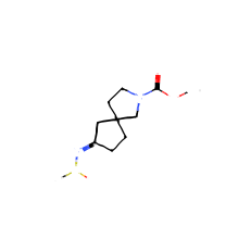 CC(C)(C)OC(=O)N1CCC2(CC/C(=N\[S+]([O-])C(C)(C)C)C2)C1